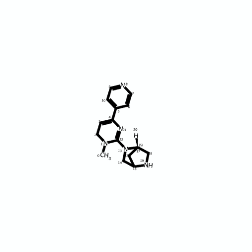 CN1CC=C(c2ccncc2)N=C1N1CC2C[C@H]1CN2